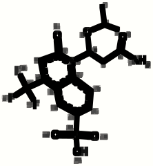 CC(C)OC(CC(N)=O)n1c(=O)cc(C(F)(F)F)c2cc(S(=O)(=O)O)ccc21